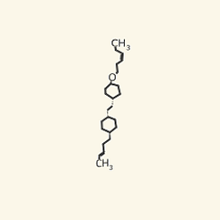 C/C=C/CC[C@H]1CC[C@H](CC[C@H]2CC[C@H](OCC/C=C\CC)CC2)CC1